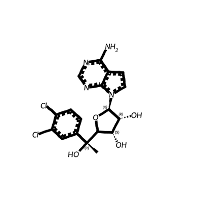 C[C@@](O)(c1ccc(Cl)c(Cl)c1)C1O[C@@H](n2ccc3c(N)ncnc32)[C@H](O)[C@@H]1O